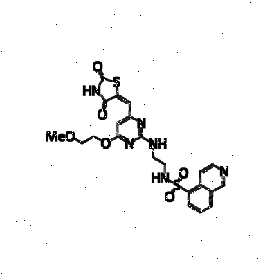 COCCOc1cc(/C=C2/SC(=O)NC2=O)nc(NCCNS(=O)(=O)c2cccc3cnccc23)n1